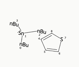 CCC[CH2][Sn]([CH2]CCC)[CH2]CCC.c1ccsc1